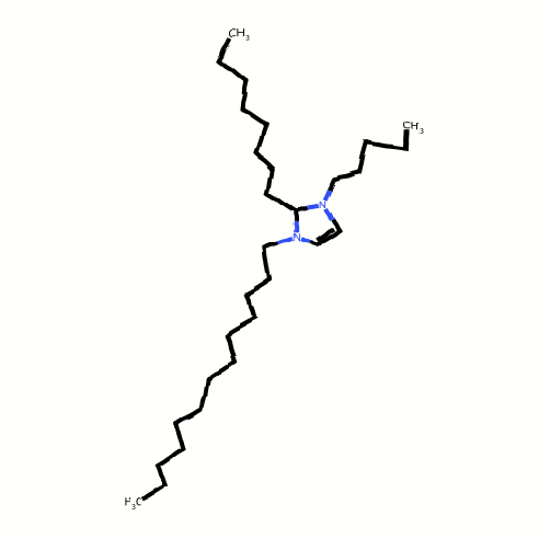 CCCCCCCCCCCCCN1C=CN(CCCCC)C1CCCCCCCC